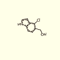 OCc1ccc2[nH]ccc2c1Cl